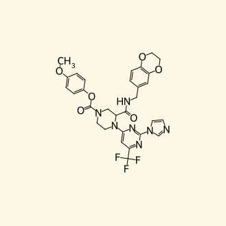 COc1ccc(OC(=O)N2CCN(c3cc(C(F)(F)F)nc(-n4ccnc4)n3)C(C(=O)NCc3ccc4c(c3)OCCO4)C2)cc1